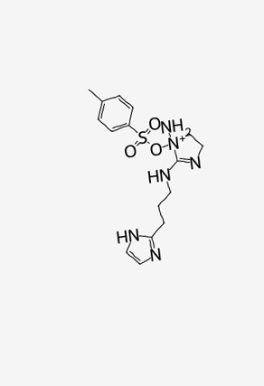 Cc1ccc(S(=O)(=O)O[N+]2(N)CCN=C2NCCCc2ncc[nH]2)cc1